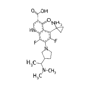 CC(C1CCN(c2c(F)c(C3(N)CC3)c3c(=O)c(C(=O)O)c[nH]c3c2F)C1)N(C)C